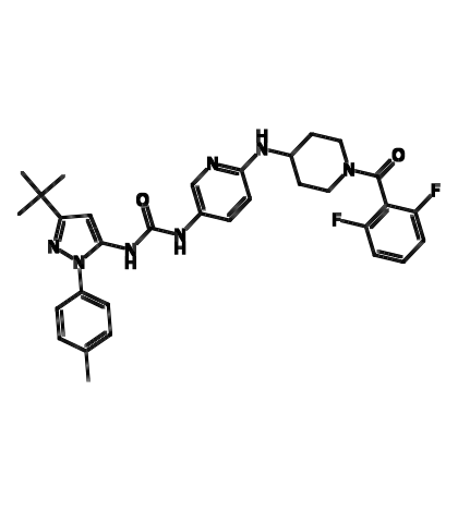 Cc1ccc(-n2nc(C(C)(C)C)cc2NC(=O)Nc2ccc(NC3CCN(C(=O)c4c(F)cccc4F)CC3)nc2)cc1